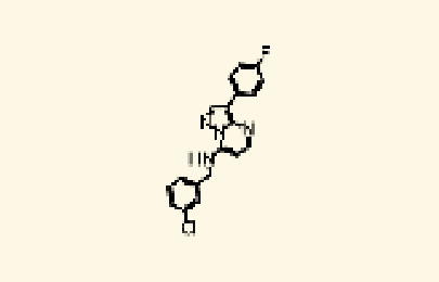 Fc1ccc(-c2cnn3c(NCc4cccc(Cl)c4)ccnc23)cc1